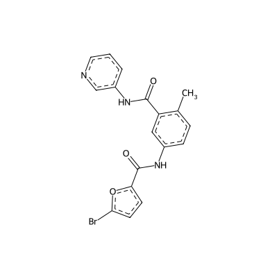 Cc1ccc(NC(=O)c2ccc(Br)o2)cc1C(=O)Nc1cccnc1